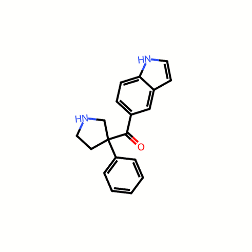 O=C(c1ccc2[nH]ccc2c1)C1(c2ccccc2)CCNC1